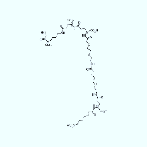 CN[C@@H](CCCCNC(=O)CC[C@H](NC(=O)CC[C@H](NC(=O)COCCOCCNC(=O)COCCOCCNC(=O)CC[C@H](NC(=O)CCCCCCC(=O)O)C(=O)O)C(=O)O)C(=O)O)C(=O)CO